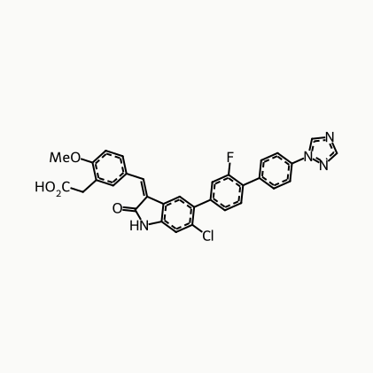 COc1ccc(C=C2C(=O)Nc3cc(Cl)c(-c4ccc(-c5ccc(-n6cncn6)cc5)c(F)c4)cc32)cc1CC(=O)O